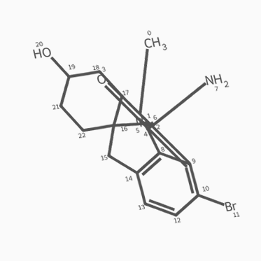 CN1C(=O)C2(N=C1N)c1cc(Br)ccc1CC21CCC(O)CC1